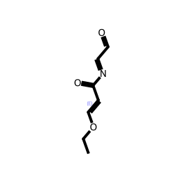 CCO/C=C/C(=O)N=CC=O